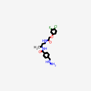 C=C(CCNC(=O)COc1ccc(Cl)c(F)c1)NC(=O)c1ccc(CNN)cc1